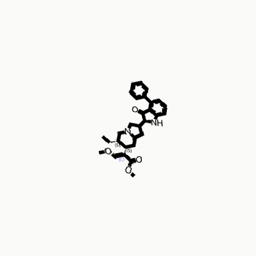 CC[C@@H]1CN2CC(C3Nc4cccc(-c5ccccc5)c4C3=O)CC2C[C@@H]1/C(=C\OC)C(=O)OC